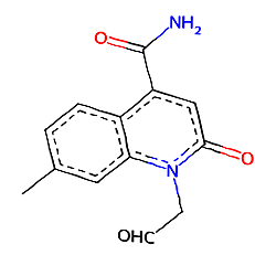 Cc1ccc2c(C(N)=O)cc(=O)n(CC=O)c2c1